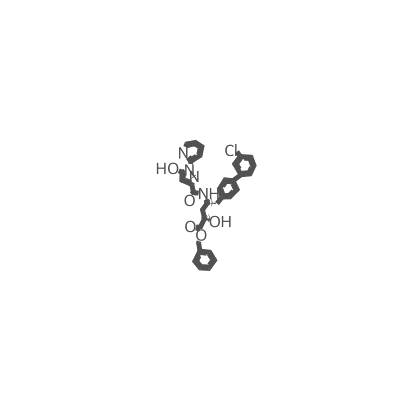 O=C(N[C@H](Cc1ccc(-c2cccc(Cl)c2)cc1)C[C@@H](O)C(=O)OCc1ccccc1)c1cc(O)n(-c2ccccn2)n1